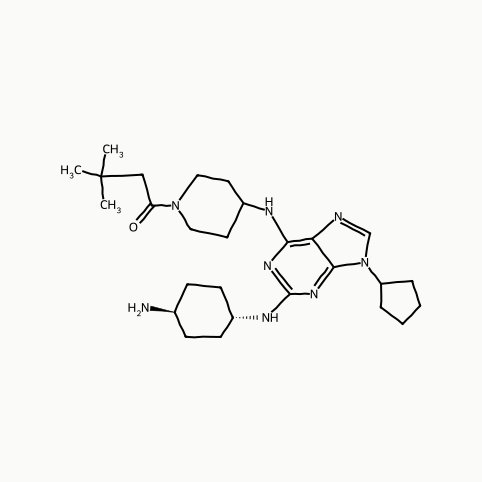 CC(C)(C)CC(=O)N1CCC(Nc2nc(N[C@H]3CC[C@H](N)CC3)nc3c2ncn3C2CCCC2)CC1